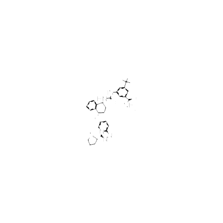 CN1CCC[C@H]1c1nnc2ccc(O[C@@H]3CC[C@H](NC(=O)Nc4cc(C(N)=O)cc(C(C)(C)C)c4)c4ccccc43)cn12